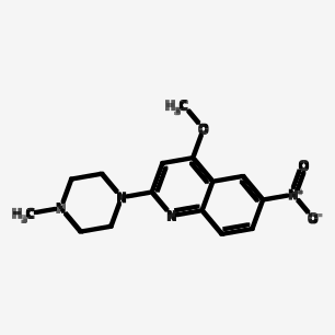 COc1cc(N2CCN(C)CC2)nc2ccc([N+](=O)[O-])cc12